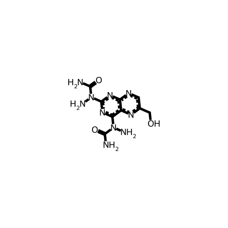 NC(=O)N(N)c1nc(N(N)C(N)=O)c2nc(CO)cnc2n1